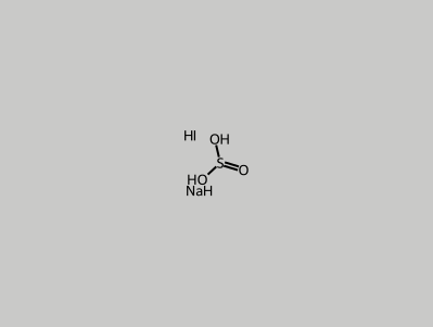 I.O=S(O)O.[NaH]